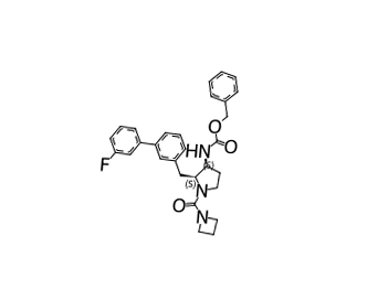 O=C(N[C@H]1CCN(C(=O)N2CCC2)[C@H]1Cc1cccc(-c2cccc(F)c2)c1)OCc1ccccc1